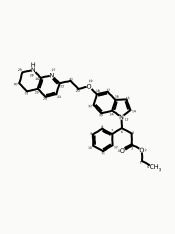 CCOC(=O)CC(c1ccccc1)n1ccc2cc(OCCc3ccc4c(n3)NCCC4)ccc21